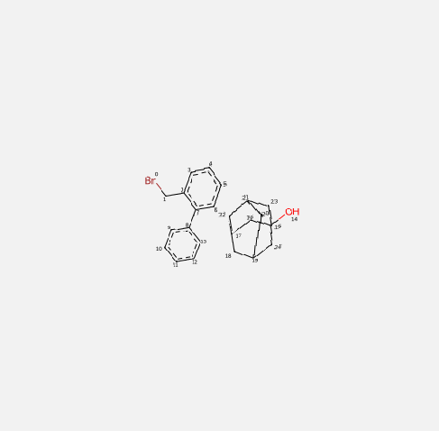 BrCc1ccccc1-c1ccccc1.OC12CC3CC(CC(C3)C1)C2